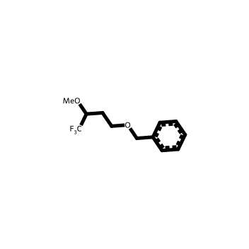 COC(CCOCc1ccccc1)C(F)(F)F